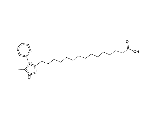 Cc1[nH]cc(CCCCCCCCCCCCCCC(=O)O)[n+]1-c1ccccc1